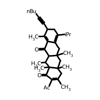 CCCCC#CC1CC(C(C)C)=C2CC3(C)CC4(C)CC(C)=C(C(C)=O)C(=O)C4(C)C(C)C3C(=O)C2=C1C